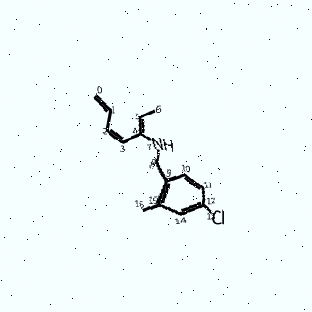 C=C/C=C\C(=C\C)NCc1ccc(Cl)cc1C